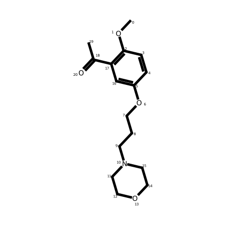 COc1ccc(OCCCN2CCOCC2)cc1C(C)=O